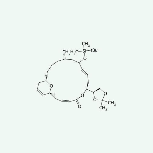 C=C1CCC[C@@H]2CC=C[C@@H](CC=CC(=O)O[C@H]([C@H]3COC(C)(C)O3)C/C=C/C(O[Si](C)(C)C(C)(C)C)C1)O2